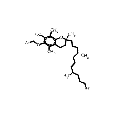 CC(=O)COc1c(C)c(C)c2c(c1C)CC[C@@](C)(CCC[C@H](C)CCC[C@H](C)CCCC(C)C)O2